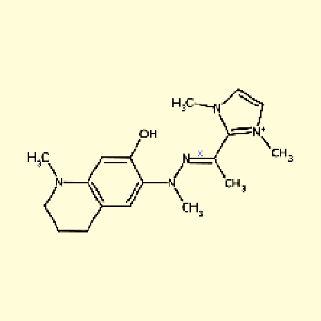 C/C(=N\N(C)c1cc2c(cc1O)N(C)CCC2)c1n(C)cc[n+]1C